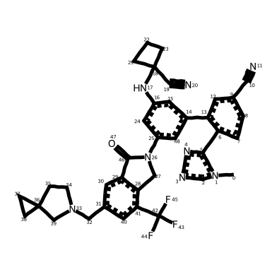 Cn1cnnc1-c1ccc(C#N)cc1-c1cc(NC2(C#N)CCC2)cc(N2Cc3c(cc(CN4CCC5(CC5)C4)cc3C(F)(F)F)C2=O)c1